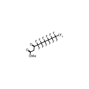 COC(=O)CC(=O)C(F)(F)C(F)(F)C(F)(F)C(F)(F)C(F)(F)C(F)(F)C(F)(F)F